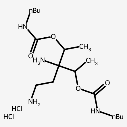 CCCCNC(=O)OC(C)C(N)(CCN)C(C)OC(=O)NCCCC.Cl.Cl